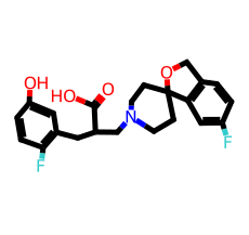 O=C(O)C(Cc1cc(O)ccc1F)CN1CCC2(CC1)OCc1ccc(F)cc12